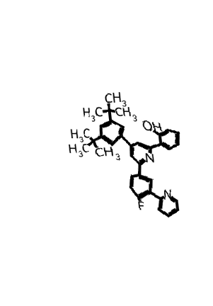 CC(C)(C)c1cc(-c2cc(-c3ccc(F)c(-c4ccccn4)c3)nc(-c3ccccc3O)c2)cc(C(C)(C)C)c1